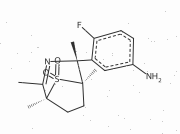 CC1=N[C@](C)(c2cc(N)ccc2F)[C@@]2(C)CC[C@]1(C)S2(=O)=O